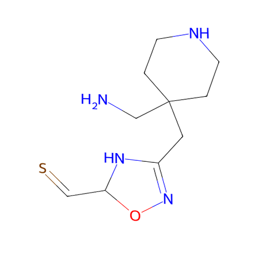 NCC1(CC2=NOC(C=S)N2)CCNCC1